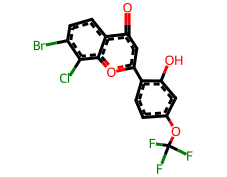 O=c1cc(-c2ccc(OC(F)(F)F)cc2O)oc2c(Cl)c(Br)ccc12